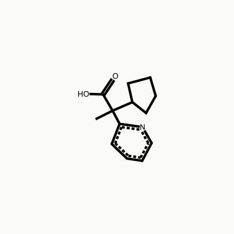 CC(C(=O)O)(c1ccccn1)C1CCCC1